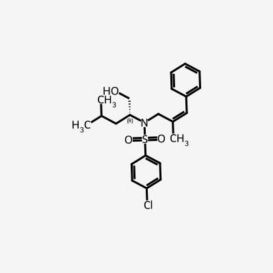 CC(=Cc1ccccc1)CN([C@@H](CO)CC(C)C)S(=O)(=O)c1ccc(Cl)cc1